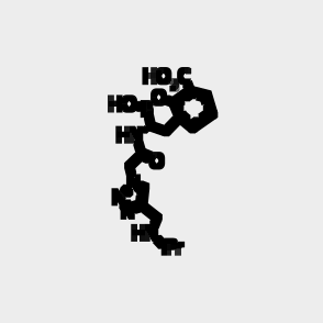 CC(C)NCc1cn(CC(=O)N[C@H]2Cc3cccc(C(=O)O)c3OB2O)nn1